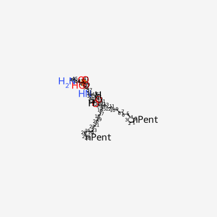 CCCCC/C=C\C/C=C\CCCCCCCCC1(CCCCCCCC/C=C\C/C=C\CCCCC)CC2(C1)O[C@H]1C[C@@H](NCCOP(=O)(O)OCCN)C[C@H]1O2